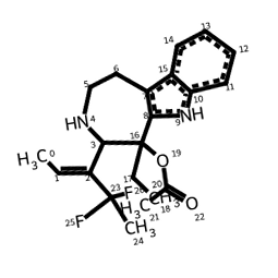 C/C=C(\C1NCCc2c([nH]c3ccccc23)C1(CC)OC(C)=O)C(C)(F)F